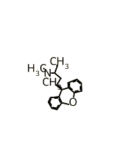 CCC(CC=C1c2ccccc2COc2ccccc21)N(C)C